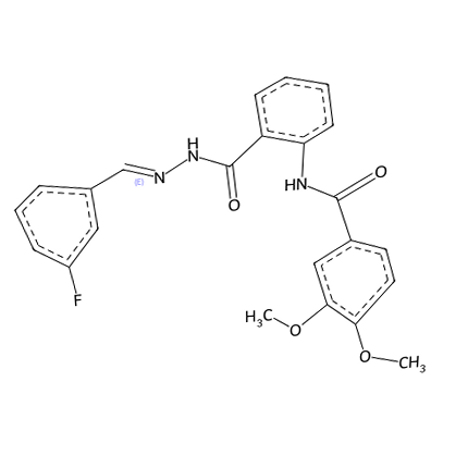 COc1ccc(C(=O)Nc2ccccc2C(=O)N/N=C/c2cccc(F)c2)cc1OC